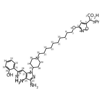 CC(C)C(C(=O)O)c1cc(OCCCCCCCCCCN2CCC(n3nc(N)c(N)c3/C=C(\N)c3ccccc3O)CC2)no1